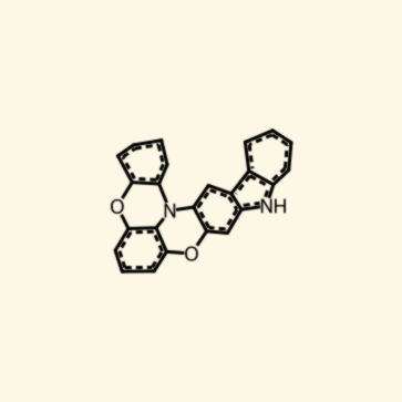 c1ccc2c(c1)Oc1cccc3c1N2c1cc2c(cc1O3)[nH]c1ccccc12